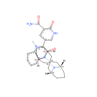 C[C@@H]1C[C@@H]2C[C@H](C1)C[C@@H](N1[C@@H]3CCC[C@H]1C[C@@H](n1c(=O)c(-c4c[nH]c(=O)c(C(N)=O)c4)nc4ccccc41)C3)C2